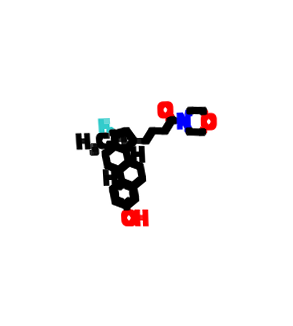 C[C@]12CC[C@@H]3c4ccc(O)cc4CC[C@H]3[C@@H]1[C@H](CCCC(=O)N1CCOCC1)C=C2F